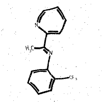 C/C(=N\c1ccccc1C(F)(F)F)c1ccccn1